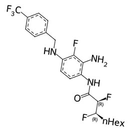 CCCCCC[C@@H](F)[C@H](F)C(=O)Nc1ccc(NCc2ccc(C(F)(F)F)cc2)c(F)c1N